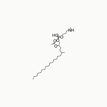 CCCCCCCCCCCCCCCC(C)CCC(COP(O)OCCCNC)OC(C)=O